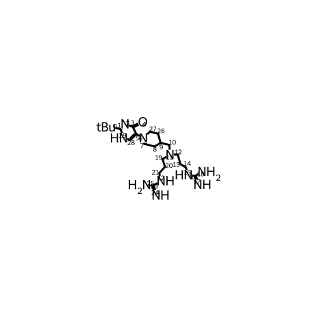 CC(C)(C)c1nc(=O)c(N2CCC(CN(CCCNC(=N)N)CCCNC(=N)N)CC2)c[nH]1